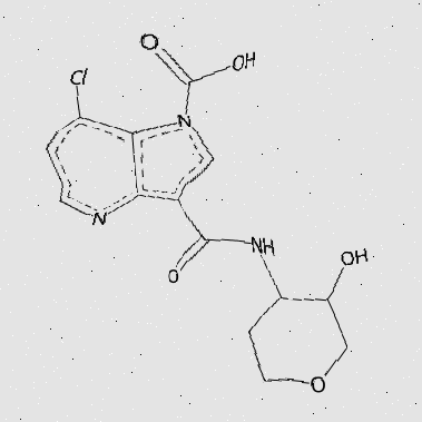 O=C(NC1CCOCC1O)c1cn(C(=O)O)c2c(Cl)ccnc12